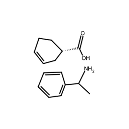 CC(N)c1ccccc1.O=C(O)[C@@H]1CC=CCC1